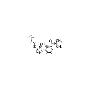 CN(C)C(=O)c1cccc(-c2nnc(SCCCCl)n2C)n1